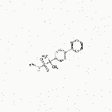 CCCNS(=O)(=O)C(C)(C)c1ccc(-c2ccccn2)cc1